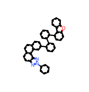 c1ccc(-n2nc3ccc4ccc5ccc(-c6ccccc6-c6ccccc6-c6cccc7oc8ccccc8c67)cc5c4c3n2)cc1